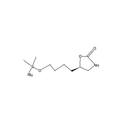 CC(C)(C)[Si](C)(C)OCCCC[C@@H]1CNC(=O)O1